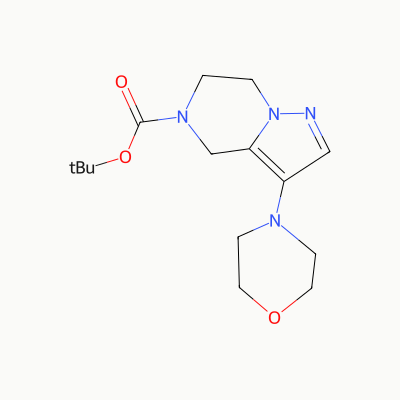 CC(C)(C)OC(=O)N1CCn2ncc(N3CCOCC3)c2C1